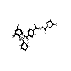 O=C(NCC(=O)N1CCC(O)C1)c1ccc(S(=O)(=O)N(Oc2ccc(Cl)cc2Cl)c2ccccc2)cc1